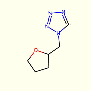 [c]1nnnn1CC1CCCO1